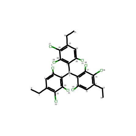 CCc1cc(Cl)c(B(c2c(Cl)cc(CC)c(Cl)c2Cl)c2c(Cl)cc(CC)c(Cl)c2Cl)c(Cl)c1Cl